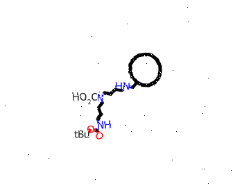 CC(C)(C)OC(=O)NCCCCN(CCCCNCC1CCCCCCCCCCCCCC1)C(=O)O